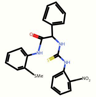 CSc1ccccc1NC(=O)C(NC(=S)Nc1ccccc1[N+](=O)[O-])c1ccccc1